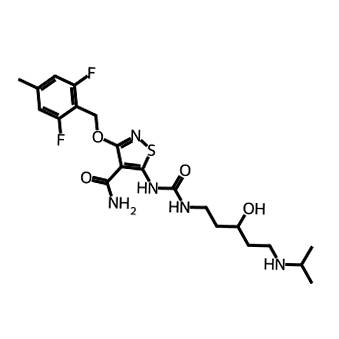 Cc1cc(F)c(COc2nsc(NC(=O)NCCC(O)CCNC(C)C)c2C(N)=O)c(F)c1